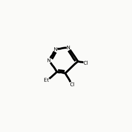 CCc1nnnc(Cl)c1Cl